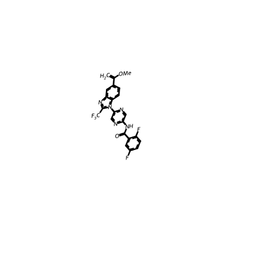 C=C(OC)c1ccc2c(c1)nc(C(F)(F)F)n2-c1cnc(NC(=O)c2cc(F)ccc2F)cn1